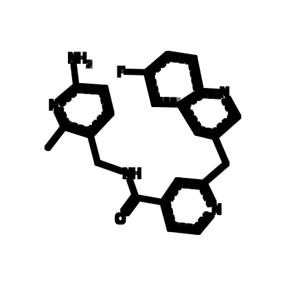 Cc1nc(N)ccc1CNC(=O)c1ccnc(Cc2cnc3ccc(F)cc3c2)c1